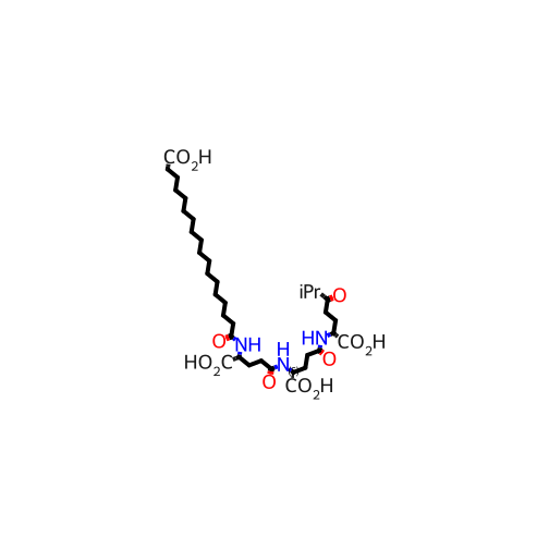 CC(C)C(=O)CCC(NC(=O)CC[C@H](NC(=O)CCC(NC(=O)CCCCCCCCCCCCCCCCC(=O)O)C(=O)O)C(=O)O)C(=O)O